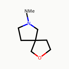 CNN1CCC2(CCOC2)C1